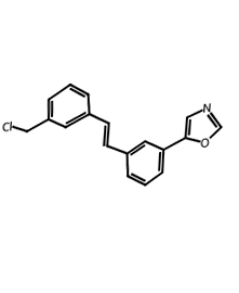 ClCc1cccc(C=Cc2cccc(-c3cnco3)c2)c1